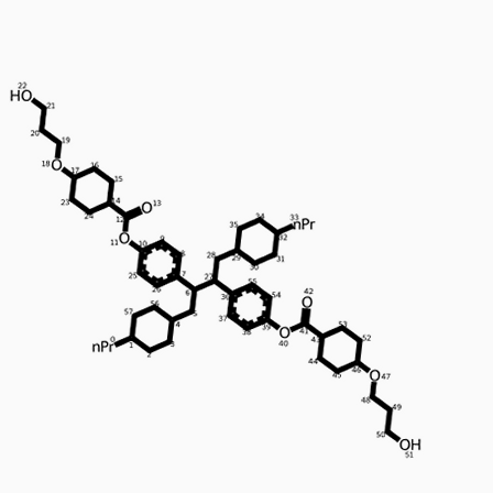 CCCC1CCC(CC(c2ccc(OC(=O)C3CCC(OCCCO)CC3)cc2)C(CC2CCC(CCC)CC2)c2ccc(OC(=O)C3CCC(OCCCO)CC3)cc2)CC1